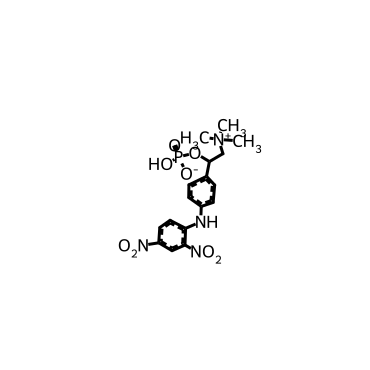 C[N+](C)(C)CC(OP(=O)([O-])O)c1ccc(Nc2ccc([N+](=O)[O-])cc2[N+](=O)[O-])cc1